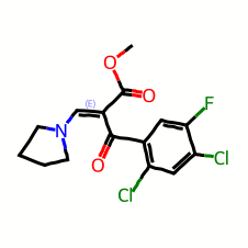 COC(=O)/C(=C/N1CCCC1)C(=O)c1cc(F)c(Cl)cc1Cl